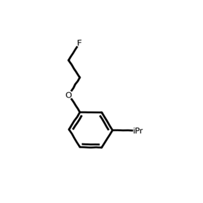 CC(C)c1cccc(OCCF)c1